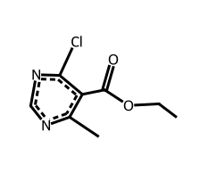 CCOC(=O)c1c(C)ncnc1Cl